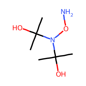 CC(C)(O)N(ON)C(C)(C)O